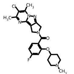 Cc1nc2c3c(nn2c(C)c1Cl)CN(C(=O)c1ccc(F)cc1OC1CCN(C)CC1)C3